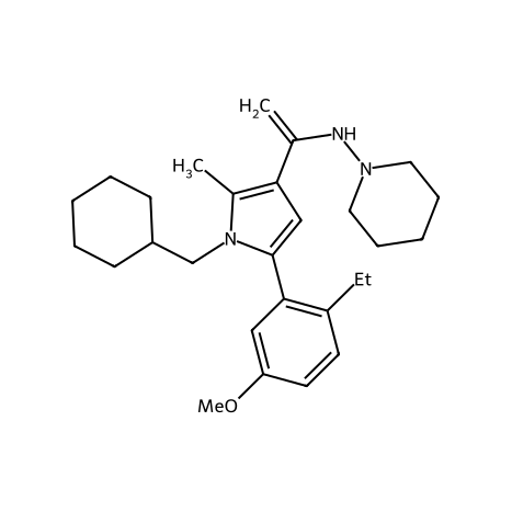 C=C(NN1CCCCC1)c1cc(-c2cc(OC)ccc2CC)n(CC2CCCCC2)c1C